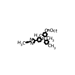 CC#Cc1ncc(-c2ccc(N(c3ccc(C)cc3C)c3ccc(OCCCCCCCC)cc3C)cc2)cn1